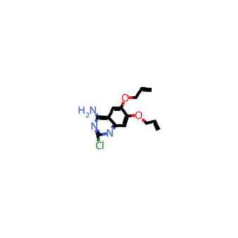 C=CCOc1cc2nc(Cl)nc(N)c2cc1OCC=C